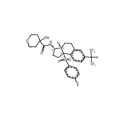 O=C(N[C@@H]1CC[C@@]2(S(=O)(=O)c3ccc(F)cc3)c3ccc(C(F)(C(F)(F)F)C(F)(F)F)cc3CC[C@@H]12)C1(O)CCOCC1